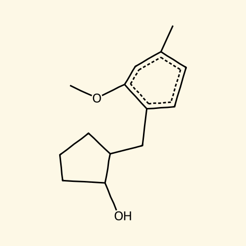 COc1cc(C)ccc1CC1CCCC1O